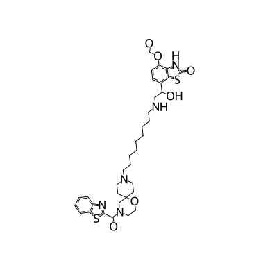 O=COc1ccc(C(O)CNCCCCCCCCCN2CCC3(CC2)CN(C(=O)c2nc4ccccc4s2)CCO3)c2sc(=O)[nH]c12